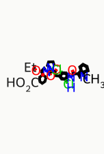 CCOC1CN(C(OC2CCC(C(=O)O)CC2)(C(=O)Cc2cc(Cl)c(NC(=O)c3cn(C)c4ccccc34)cc2Cl)N2CCCC2)C1